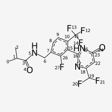 CC(C)C(=O)NCc1ccc(C(F)(F)F)c(-c2nc(C(F)F)cc(=O)[nH]2)c1F